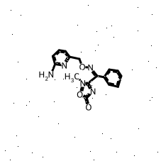 Cn1oc(=O)nc1C(=NOCc1cccc(N)n1)c1ccccc1